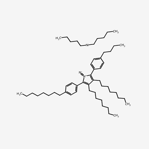 CCCCCCCCC1=C(c2ccc(CCCC)cc2)[N+](=[N-])C(c2ccc(CCCCCCCC)cc2)=C1CCCCCCCC.CCCC[CH2][Ni][CH2]CCCC